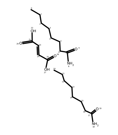 CCCCCCCC(N)=O.CCCCCCCC(N)=O.O=C(O)/C=C/C(=O)O